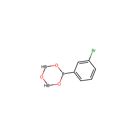 Brc1cccc(B2OBOBO2)c1